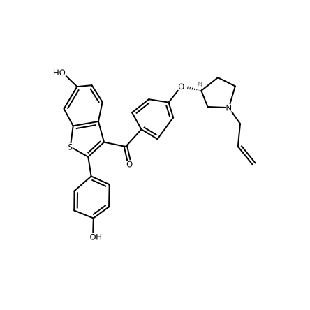 C=CCN1CC[C@@H](Oc2ccc(C(=O)c3c(-c4ccc(O)cc4)sc4cc(O)ccc34)cc2)C1